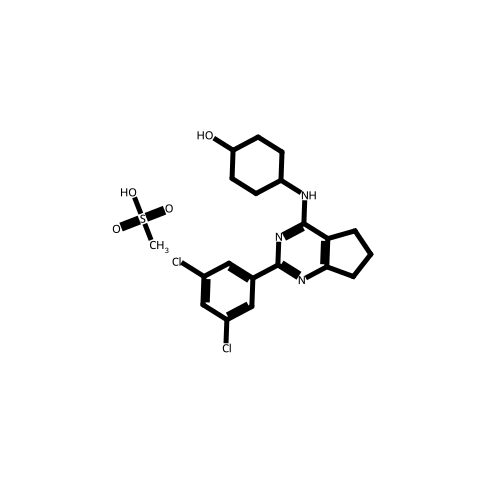 CS(=O)(=O)O.OC1CCC(Nc2nc(-c3cc(Cl)cc(Cl)c3)nc3c2CCC3)CC1